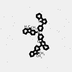 CC1(C)c2ccccc2-c2ccc(-c3c4ccccc4cc4c3oc3cc(N(c5ccc(-c6cccc7c6sc6ccccc67)cc5)c5ccc6c(c5)C(C)(C)c5ccccc5-6)ccc34)cc21